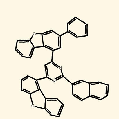 c1ccc(-c2cc(-c3cc(-c4cccc5oc6ccccc6c45)nc(-c4ccc5ccccc5c4)n3)c3c(c2)oc2ccccc23)cc1